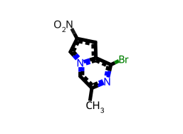 Cc1cn2cc([N+](=O)[O-])cc2c(Br)n1